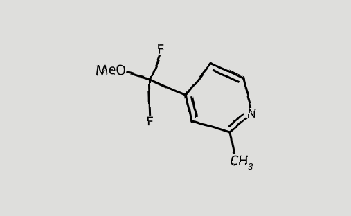 COC(F)(F)c1ccnc(C)c1